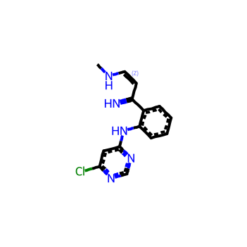 CN/C=C\C(=N)c1ccccc1Nc1cc(Cl)ncn1